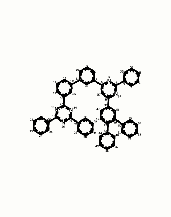 c1ccc(-c2nc(-c3cccc(-c4cccc(-c5nc(-c6ccccc6)nc(-c6ccccc6)n5)c4)c3)cc(-c3ccc(-c4ccccc4)c(-c4ccccc4)c3)n2)cc1